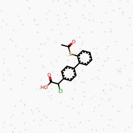 CC(=O)Sc1ccccc1-c1ccc(C(Cl)C(=O)O)cc1